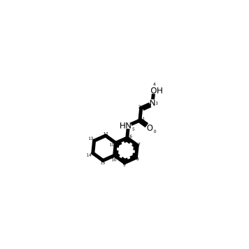 O=C(/C=N/O)Nc1cccc2c1CCCC2